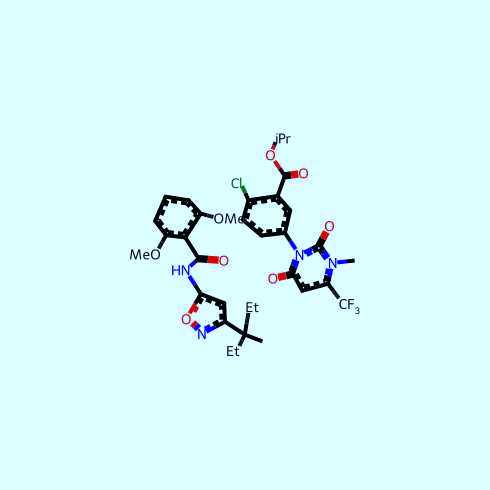 CC(C)OC(=O)c1cc(-n2c(=O)cc(C(F)(F)F)n(C)c2=O)ccc1Cl.CCC(C)(CC)c1cc(NC(=O)c2c(OC)cccc2OC)on1